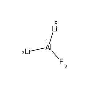 [Li][Al]([Li])[F]